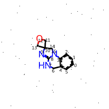 c1ccc2c(c1)CNC1=NC3(COC3)CN12